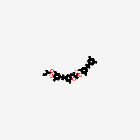 CCC(C)C(=O)Oc1c(C)cc(C(C)(C)c2cc(C)c(OC(C)(CC)C(=O)Oc3c(C)cc(C(C)(C)c4cc(C)cc(C)c4)cc3C)c(C)c2)cc1C